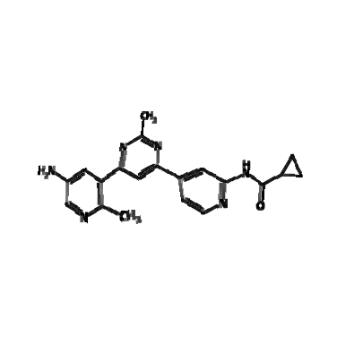 Cc1nc(-c2ccnc(NC(=O)C3CC3)c2)cc(-c2cc(N)cnc2C)n1